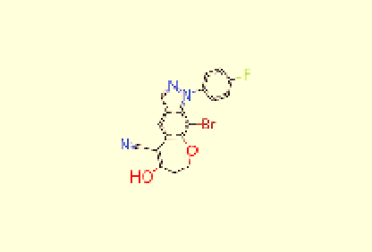 N#CC1=C(O)CCOc2c1cc1cnn(-c3ccc(F)cc3)c1c2Br